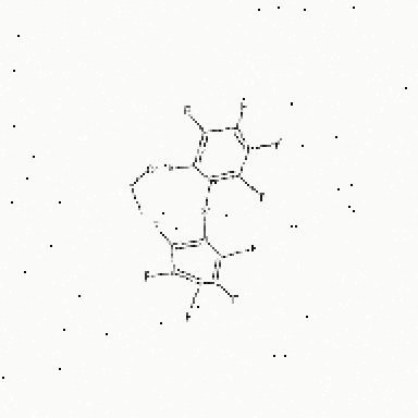 CC[O-].Fc1c(F)c(F)c([B+]c2c(F)c(F)c(F)c(F)c2F)c(F)c1F